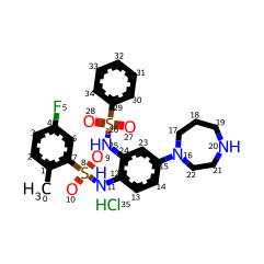 Cc1ccc(F)cc1S(=O)(=O)Nc1ccc(N2CCCNCC2)cc1NS(=O)(=O)c1ccccc1.Cl